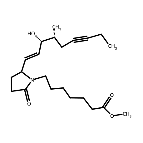 CCC#CC[C@@H](C)[C@@H](O)/C=C/C1CCC(=O)N1CCCCCCC(=O)OC